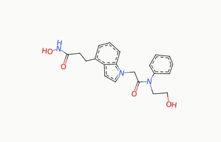 O=C(CCc1cccc2c1ccn2CC(=O)N(CCO)c1ccccc1)NO